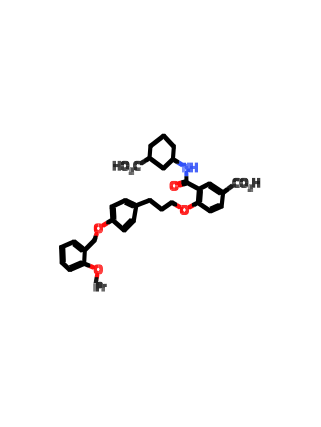 CC(C)Oc1ccccc1COc1ccc(CCCOc2ccc(C(=O)O)cc2C(=O)NC2CCCC(C(=O)O)C2)cc1